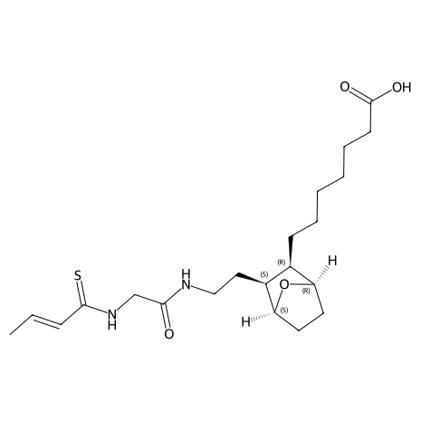 CC=CC(=S)NCC(=O)NCC[C@H]1[C@@H](CCCCCCC(=O)O)[C@H]2CC[C@@H]1O2